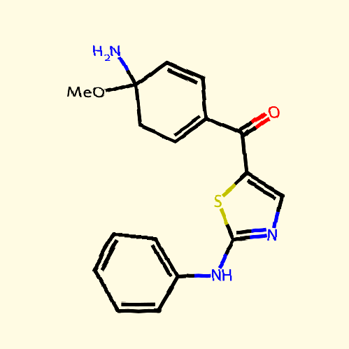 COC1(N)C=CC(C(=O)c2cnc(Nc3ccccc3)s2)=CC1